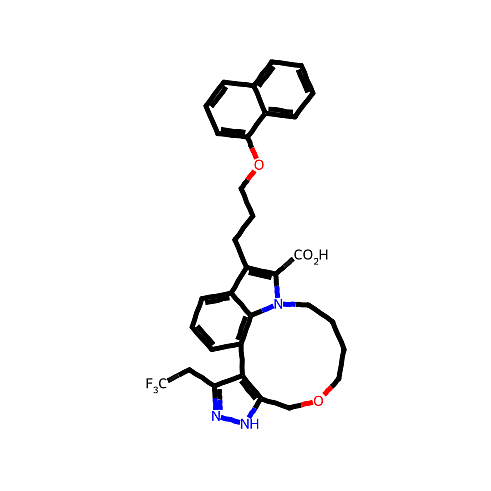 O=C(O)c1c(CCCOc2cccc3ccccc23)c2cccc3c2n1CCCCOCc1[nH]nc(CC(F)(F)F)c1-3